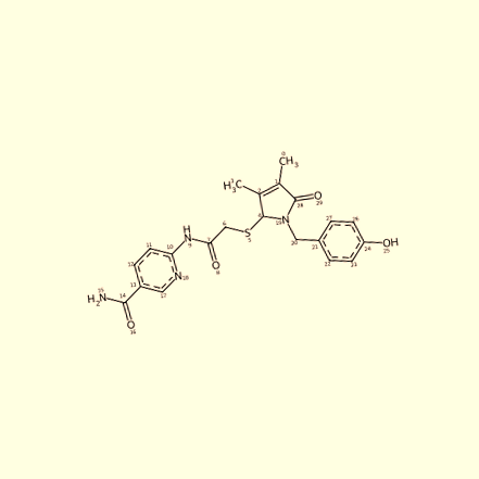 CC1=C(C)C(SCC(=O)Nc2ccc(C(N)=O)cn2)N(Cc2ccc(O)cc2)C1=O